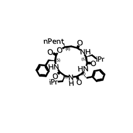 CCCCC[C@@H]1CC(=O)N[C@@H](CC(C)C)C(=O)N[C@H](Cc2ccccc2)C(=O)N[C@@H](CC(C)C)C(=O)N[C@@H](Cc2ccccc2)C(=O)O1